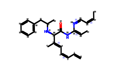 C=C/C=C\C=C(/C)[C@@H](NC(C)Cc1ccccc1)C(=O)NC(=C/C)/N=C\C=C/C